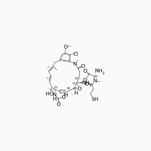 COc1cc2cc(c1Cl)N(C)C(=O)C[C@H](OC(=O)[C@H](N)N(C)C(=O)CCS)[C@]1(N)O[C@H]1[C@H](C)[C@@H]1C[C@@](O)(NC(=O)O1)[C@H](C)/C=C/C=C(\C)C2